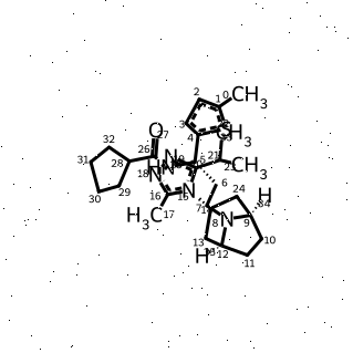 Cc1ccc([C@H](CCN2[C@@H]3CC[C@H]2C[C@H](n2c(C)nnc2C(C)C)C3)NC(=O)C2CCCC2)s1